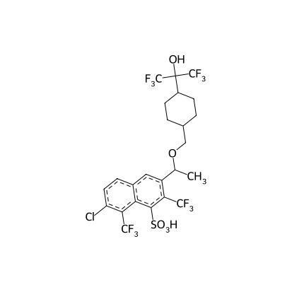 CC(OCC1CCC(C(O)(C(F)(F)F)C(F)(F)F)CC1)c1cc2ccc(Cl)c(C(F)(F)F)c2c(S(=O)(=O)O)c1C(F)(F)F